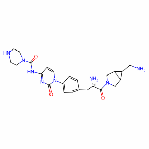 NCC1C2CN(C(=O)[C@@H](N)Cc3ccc(-n4ccc(NC(=O)N5CCNCC5)nc4=O)cc3)CC12